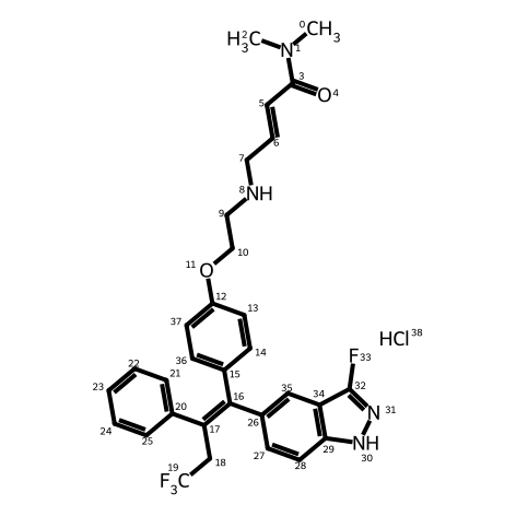 CN(C)C(=O)C=CCNCCOc1ccc(/C(=C(/CC(F)(F)F)c2ccccc2)c2ccc3[nH]nc(F)c3c2)cc1.Cl